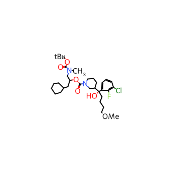 COCCCC[C@@](O)(c1cccc(Cl)c1F)C1CCCN(C(=O)OC(CC2CCCCC2)CN(C)C(=O)OC(C)(C)C)C1